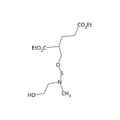 CCOC(=O)CCC(COSN(C)CCO)C(=O)OCC